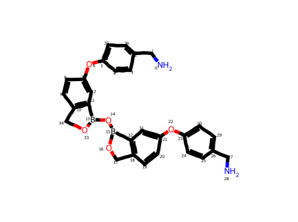 NCc1ccc(Oc2ccc3c(c2)B(OB2OCc4ccc(Oc5ccc(CN)cc5)cc42)OC3)cc1